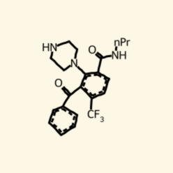 CCCNC(=O)c1ccc(C(F)(F)F)c(C(=O)c2ccccc2)c1N1CCNCC1